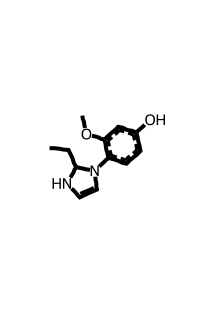 CCC1NC=CN1c1ccc(O)cc1OC